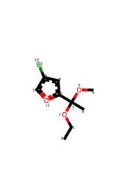 CCOC(C)(OC)c1cc(Br)co1